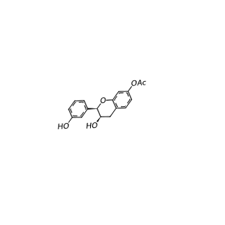 CC(=O)Oc1ccc2c(c1)O[C@H](c1cccc(O)c1)[C@H](O)C2